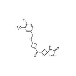 O=C1N[C@]2(CO1)C[C@H](C(=O)N1CC(OCc3ccc(Cl)c(C(F)(F)F)c3)C1)C2